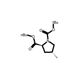 CCCCOC(=O)[C@@H]1C[C@@H](C)CN1C(=O)OC(C)(C)C